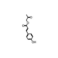 CC(=O)COC(=O)/C=C/c1ccc(O)cc1